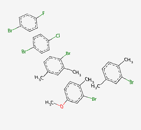 COc1ccc(C)c(Br)c1.Cc1ccc(Br)c(C)c1.Cc1ccc(C)c(Br)c1.Clc1ccc(Br)cc1.Fc1ccc(Br)cc1